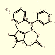 CCCC(=O)[NH][Hf+2]([C]1=C(C)C(C)=C(C)C1C)[SiH](c1ccccc1)c1ccccc1.[Cl-].[Cl-]